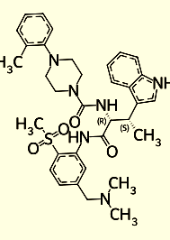 Cc1ccccc1N1CCN(C(=O)N[C@@H](C(=O)Nc2cc(CN(C)C)ccc2S(C)(=O)=O)[C@@H](C)c2c[nH]c3ccccc23)CC1